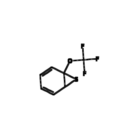 FC(F)(F)OC12C=CC=CC1S2